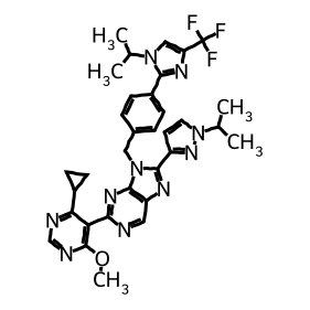 COc1ncnc(C2CC2)c1-c1ncc2nc(-c3ccn(C(C)C)n3)n(Cc3ccc(-c4nc(C(F)(F)F)cn4C(C)C)cc3)c2n1